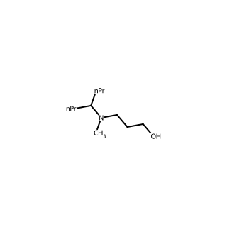 CCCC(CCC)N(C)CCCO